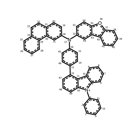 c1ccc(-n2c3ccccc3c3c(-c4ccc(N(c5ccc6ccc7ccccc7c6c5)c5ccc6oc7ccccc7c6c5)cc4)cccc32)cc1